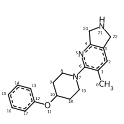 Cc1cc2c(nc1N1CCC(Oc3ccccc3)CC1)CNC2